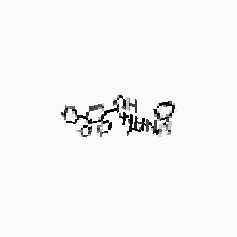 COc1c(-c2ccccc2)ccc(C(O)CNC(C)CCn2cnc3ccccc32)c1OC